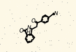 N#Cc1ccc(C(=O)CC2NC(=O)c3ccccc32)cc1